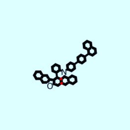 c1ccc(N(c2ccc(-c3ccc(-c4cccc5ccccc45)cc3)cc2)c2cccc3ccccc23)c(-c2cccc3oc4cc5ccccc5cc4c23)c1